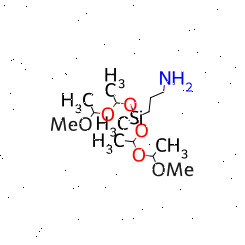 COC(C)OC(C)O[Si](C)(CCCN)OC(C)OC(C)OC